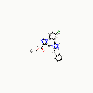 CCOC(=O)c1ncn2c1Cn1c(Cc3ccccc3)nnc1-c1cc(Br)ccc1-2